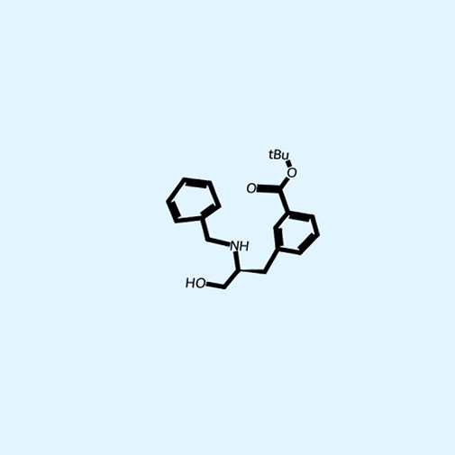 CC(C)(C)OC(=O)c1cccc(C[C@@H](CO)NCc2ccccc2)c1